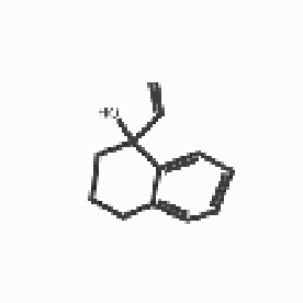 C=CC1(O)CCCc2ccccc21